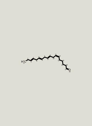 CCC=CCC=CCC=CC/C=C\CCCCC=O